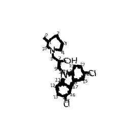 CC1CCCN(CC(O)Cn2c3ccc(Cl)cc3c3cc(Cl)ccc32)C1